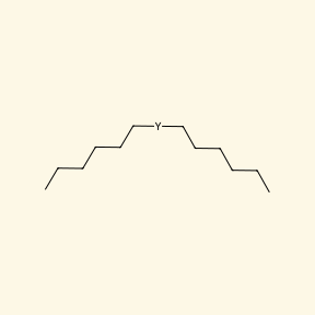 CCCCC[CH2][Y][CH2]CCCCC